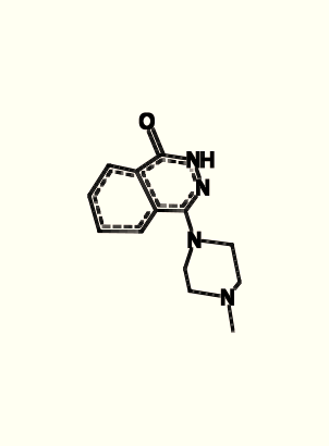 CN1CCN(c2n[nH]c(=O)c3ccccc23)CC1